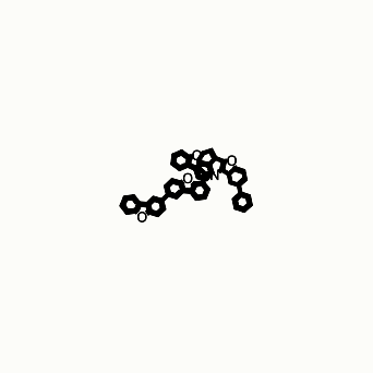 C1=C(c2ccccc2)CC2C(=C1)OC1=C2/N=C(/c2cccc3c2oc2ccc(-c4ccc5oc6ccccc6c5c4)cc23)CCC/C=C1\c1cccc2c1oc1ccccc12